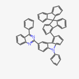 c1ccc(-c2nc(-c3ccc4c(c3)c3c(-c5cccc6c5-c5ccccc5C65c6ccccc6-c6ccccc65)cccc3n4-c3ccccc3)nc3ccccc23)cc1